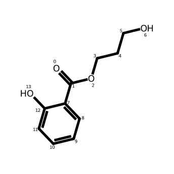 O=C(OCCCO)c1ccccc1O